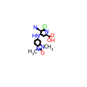 Cn1c(=O)n(C)c2cc(Nc3cc(C(=O)O)nc(Cl)c3C#N)ccc21